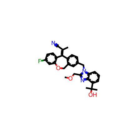 COCc1nc2c(C(C)(C)O)cccc2n1Cc1ccc2c(c1)COc1cc(F)ccc1C2=C(C)C#N